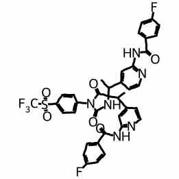 CC(c1ccnc(NC(=O)c2ccc(F)cc2)c1)C1(C(C)c2ccnc(NC(=O)c3ccc(F)cc3)c2)NC(=O)N(c2ccc(S(=O)(=O)C(F)(F)F)cc2)C1=O